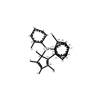 CC1=C(C)C(C)([SiH](c2ccccc2C)c2ccccc2C)C(c2ccccc2)=C1C